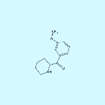 COc1cccc(C(=O)C2CCCCN2)c1